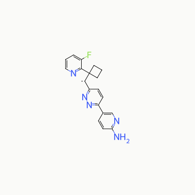 Nc1ccc(-c2ccc([CH]C3(c4ncccc4F)CCC3)nn2)cn1